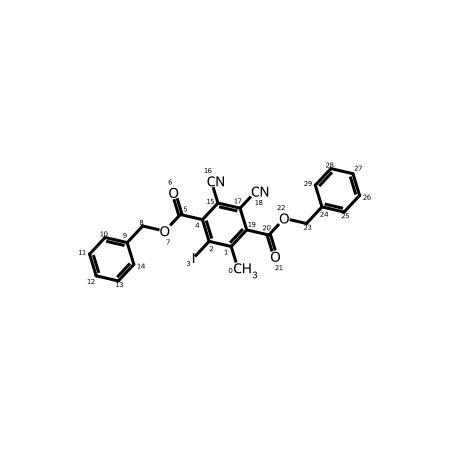 Cc1c(I)c(C(=O)OCc2ccccc2)c(C#N)c(C#N)c1C(=O)OCc1ccccc1